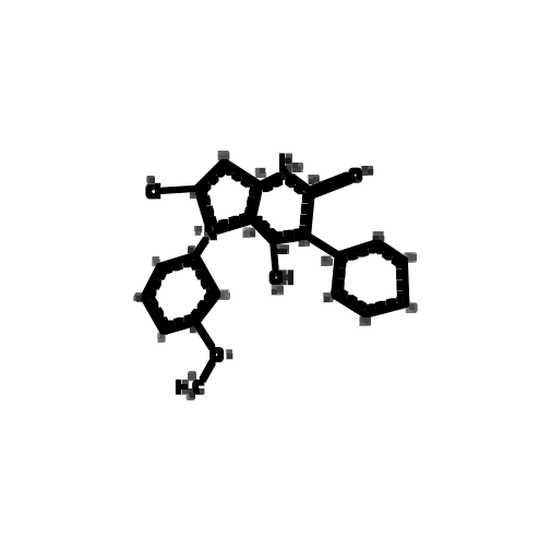 COc1cccc(-n2c(Cl)cc3[nH]c(=O)c(-c4ccccc4)c(O)c32)c1